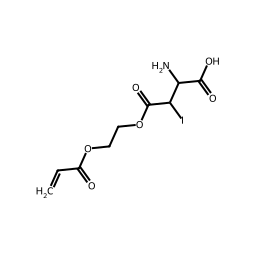 C=CC(=O)OCCOC(=O)C(I)C(N)C(=O)O